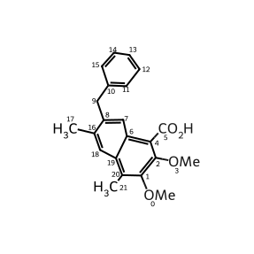 COc1c(OC)c(C(=O)O)c2cc(Cc3ccccc3)c(C)cc2c1C